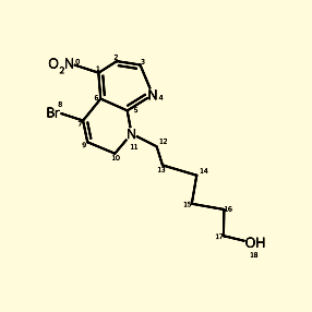 O=[N+]([O-])c1ccnc2c1C(Br)=CCN2CCCCCCO